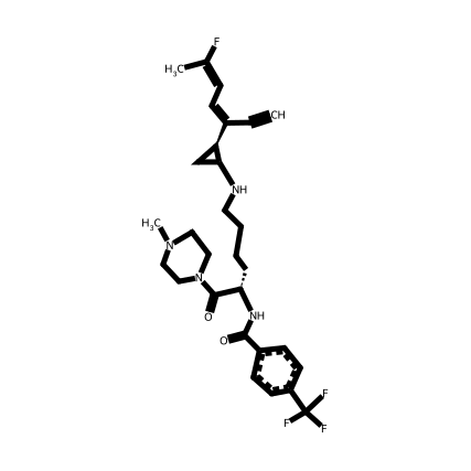 C#C/C(=C\C=C(/C)F)[C@@H]1CC1NCCCC[C@H](NC(=O)c1ccc(C(F)(F)F)cc1)C(=O)N1CCN(C)CC1